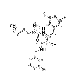 C.CCc1cccc(CNC[C@@H](O)[C@H](Cc2cc(F)cc(F)c2)NC(=O)[C@H](N)CC=S=O)c1